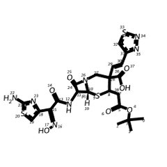 CC(C)(C)OC(=O)CC1S[C@@H]2C(NC(=O)C(=NO)c3csc(N)n3)C(=O)N2CC1(C=Cc1csnn1)C(=O)O